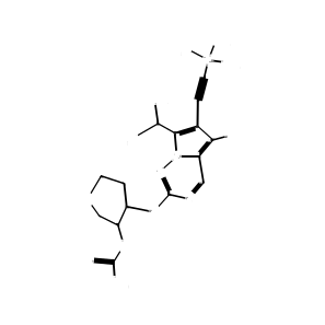 CC(=O)OC1COCCC1Nc1ncc2c(F)c(C#C[Si](C)(C)C)c(C(C)C)n2n1